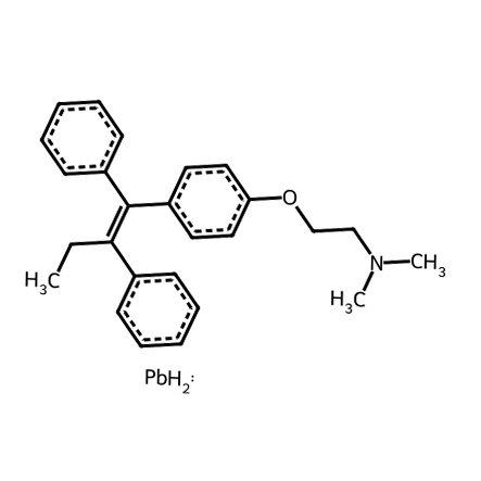 CC/C(=C(\c1ccccc1)c1ccc(OCCN(C)C)cc1)c1ccccc1.[PbH2]